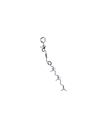 CC(C)=CCC/C(C)=C/CC/C(C)=C/COCC#CCO[Si](C)(C)c1ccccc1